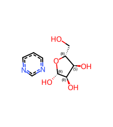 OC[C@H]1O[C@@H](O)[C@H](O)[C@@H]1O.c1cncnc1